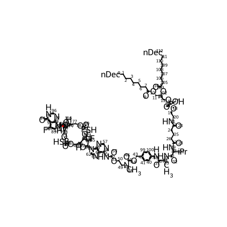 CCCCCCCCCCCCCCCCCC(=O)OC[C@H](COP(=O)(O)OCCNC(=O)CCCC(=O)N[C@H](C(=O)N[C@@H](C)C(=O)Nc1ccc(COC(=O)N(C)CCOC(=O)Nc2ncnc3c2ncn3[C@@H]2O[C@@H]3CO[P@@](=O)(S)O[C@@H]4[C@H](O)[C@@H](CO[P@@](=O)(S)O[C@H]3[C@H]2F)O[C@H]4n2cc(F)c3c(=O)[nH]cnc32)cc1)C(C)C)OC(=O)CCCCCCCCCCCCCCCCC